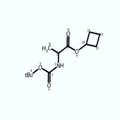 CC(NC(=O)OC(C)(C)C)C(=O)OC1CCC1